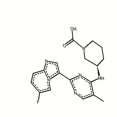 Cc1cnc(-c2cnc3ccc(F)cn23)nc1N[C@@H]1CCCN(C(=O)O)C1